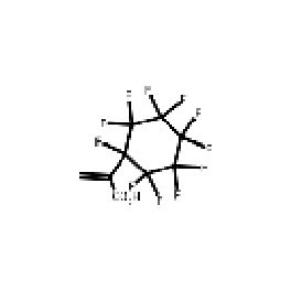 C=C(C(=O)O)C1(F)C(F)(F)C(F)(F)C(F)(F)C(F)(F)C1(F)F